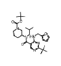 CC(C)CN(C(=O)c1cnc(C(C)(C)C)nc1NCc1ccco1)C1CCCN(C(=O)OC(C)(C)C)C1